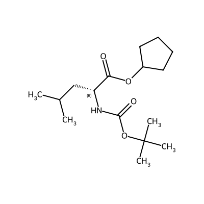 CC(C)C[C@@H](NC(=O)OC(C)(C)C)C(=O)OC1CCCC1